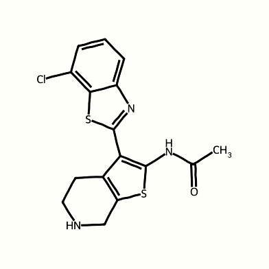 CC(=O)Nc1sc2c(c1-c1nc3cccc(Cl)c3s1)CCNC2